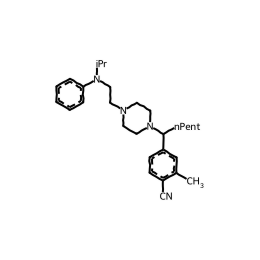 CCCCCC(c1ccc(C#N)c(C)c1)N1CCN(CCN(c2ccccc2)C(C)C)CC1